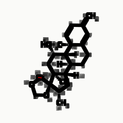 C=C1C=C[C@@]2(C)C(=C1)CC[C@H]1[C@@H]3C[C@H](C)[C@@]4(OCOC45COCO5)[C@@]3(C)C[C@H](O)[C@@]12F